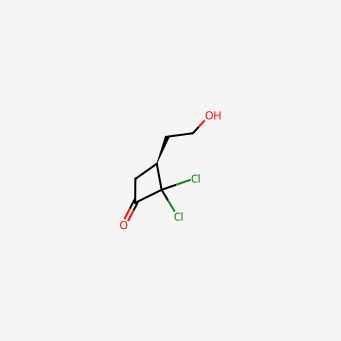 O=C1C[C@@H](CCO)C1(Cl)Cl